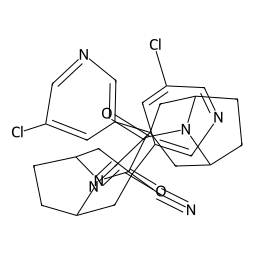 N#CC1(c2cncc(Cl)c2)CC2CCC(C1)N2C(=O)C(=O)N1C2CCC1CC(C#N)(c1cncc(Cl)c1)C2